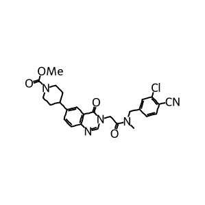 COC(=O)N1CCC(c2ccc3ncn(CC(=O)N(C)Cc4ccc(C#N)c(Cl)c4)c(=O)c3c2)CC1